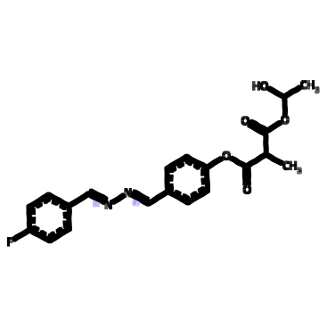 CC(O)OC(=O)C(C)C(=O)Oc1ccc(/C=N/N=C/c2ccc(F)cc2)cc1